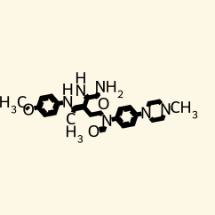 COc1ccc(N/C(C)=C(/CCN(C=O)c2ccc(N3CCN(C)CC3)cc2)C(=N)C(N)=O)cc1